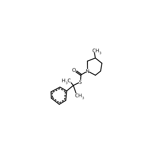 CC1CCCN(C(=O)SC(C)(C)c2ccccc2)C1